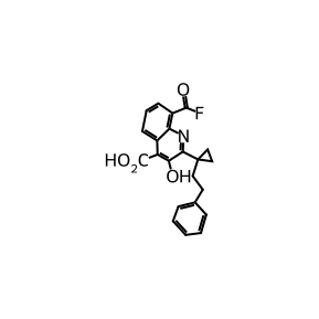 O=C(O)c1c(O)c(C2(CCc3ccccc3)CC2)nc2c(C(=O)F)cccc12